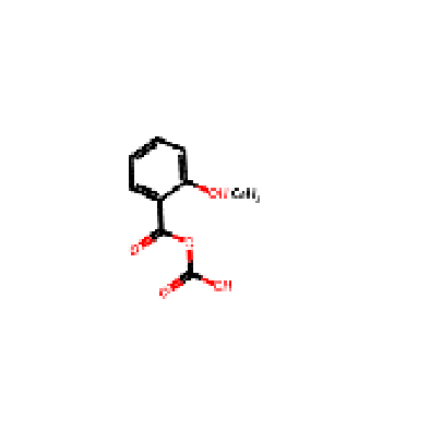 O=C(O)OC(=O)c1ccccc1O.[CaH2]